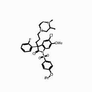 COc1cc2c(cc1Cl)C(CCCN1CCN(C)C(C)C1)(c1ccccc1F)C(=O)N2S(=O)(=O)c1ccc(OC(C)C)cc1